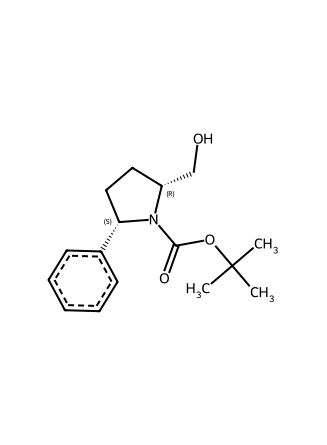 CC(C)(C)OC(=O)N1[C@@H](CO)CC[C@H]1c1ccccc1